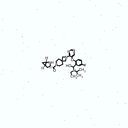 CCN(C(C)C)C(O)c1cc(F)ccc1Oc1cncnc1N1CC2(CCN(C(=O)[C@@H]3C[C@@H]4C[C@@H]4N3)CC2)C1